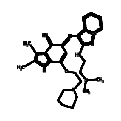 Cc1[nH]c2c(c1C)C(=N)C(=Nc1c(NCCN(C)C)nn3ccccc13)C=C2OCCN1CCCCC1